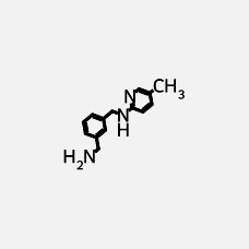 Cc1ccc(NCc2cccc(CN)c2)nc1